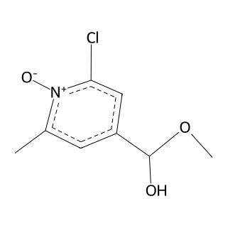 COC(O)c1cc(C)[n+]([O-])c(Cl)c1